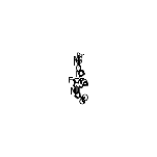 COC(=O)c1ccc2nc(Cc3cc(F)c(-c4cccc(OCc5nnc(Br)s5)n4)cc3F)n(CC[C@@H]3CCO3)c2c1